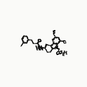 Cc1cccc(CCC(=O)NC2CCc3c(c4cc(F)cc(Cl)c4n3CC(=O)O)C2)c1